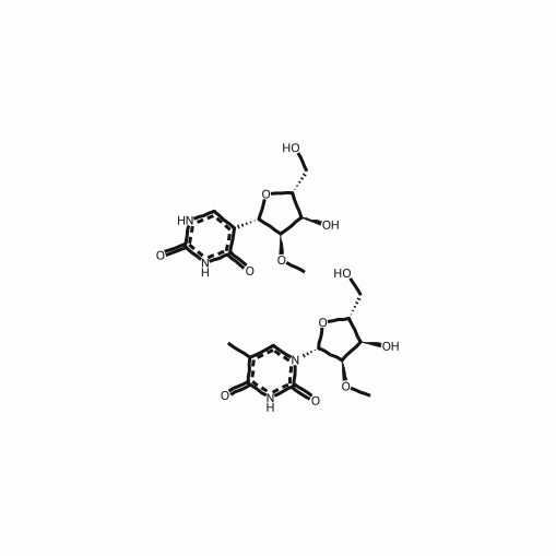 CO[C@@H]1[C@H](O)[C@@H](CO)O[C@H]1c1c[nH]c(=O)[nH]c1=O.CO[C@@H]1[C@H](O)[C@@H](CO)O[C@H]1n1cc(C)c(=O)[nH]c1=O